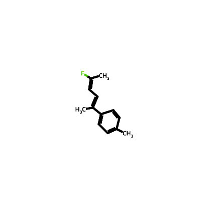 C/C(F)=C\C=C(/C)c1ccc(C)cc1